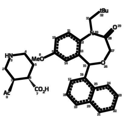 CC(=O)[C@H]1CNCC[C@@H]1C(=O)O.COc1ccc2c(c1)C(c1cccc3ccccc13)OCC(=O)N2CC(C)(C)C